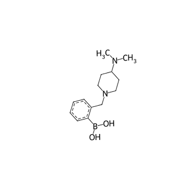 CN(C)C1CCN(Cc2ccccc2B(O)O)CC1